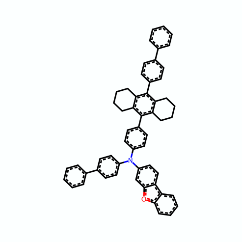 c1ccc(-c2ccc(-c3c4c(c(-c5ccc(N(c6ccc(-c7ccccc7)cc6)c6ccc7c(c6)oc6ccccc67)cc5)c5c3CCCC5)CCCC4)cc2)cc1